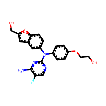 Nc1nc(N(c2ccc(OCCO)cc2)c2ccc3oc(CO)cc3c2)ncc1F